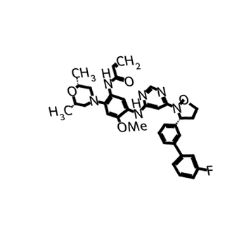 C=CC(=O)Nc1cc(Nc2cc(N3OCC[C@@H]3c3cccc(-c4cccc(F)c4)c3)ncn2)c(OC)cc1N1C[C@@H](C)O[C@@H](C)C1